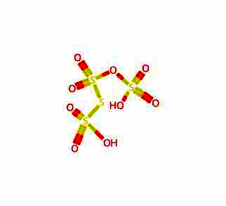 O=S(=O)(O)OS(=O)(=O)SS(=O)(=O)O